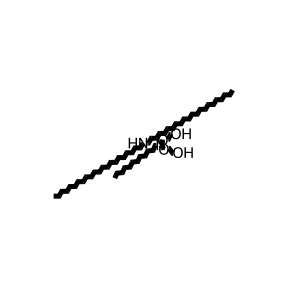 CCCCCCCCCCCCCCCCCCCCCCNCCCCCCCCCCCCCCCCCCCCCC.CCCCCCCCCCCCN(OCCO)OCCO